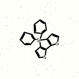 c1ccc([Si]2(c3ccccc3)c3ccsc3-c3sccc32)cc1